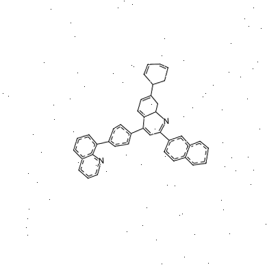 C1=CCC(C2=CC=C3C(c4ccc(-c5cccc6cccnc56)cc4)=CC(c4ccc5ccccc5c4)=NC3C2)C=C1